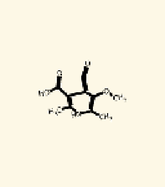 COC1=C(C)NC(C)=C(C(=O)O)C1=C=O